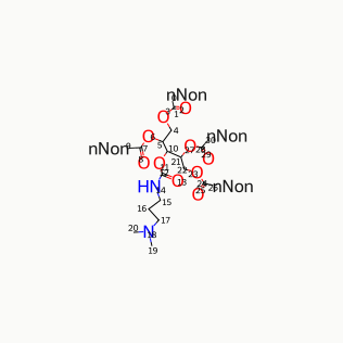 CCCCCCCCCC(=O)OCC(OC(=O)CCCCCCCCC)C(OC(=O)NCCCN(C)C)C(COC(=O)CCCCCCCCC)OC(=O)CCCCCCCCC